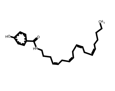 CCCCC/C=C\C/C=C\C/C=C\C/C=C\CCCNC(=O)c1ccc(O)cc1